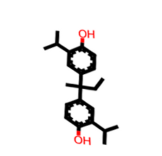 CCC(C)(c1ccc(O)c(C(C)C)c1)c1ccc(O)c(C(C)C)c1